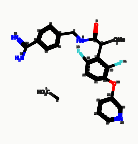 CC(=O)O.COC(C(=O)NCc1ccc(C(=N)N)cc1)c1c(F)ccc(Oc2cccnc2)c1F